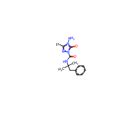 CCc1nn(C(=O)NC(C)(C)Cc2ccccc2)c(=O)n1N